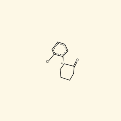 O=C1CCCC[C@@H]1c1ccccc1Cl